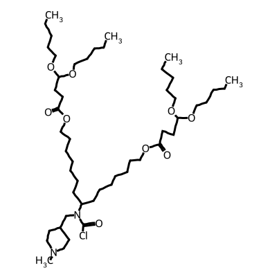 CCCCCOC(CCC(=O)OCCCCCCCC(CCCCCCCOC(=O)CCC(OCCCCC)OCCCCC)N(CC1CCN(C)CC1)C(=O)Cl)OCCCCC